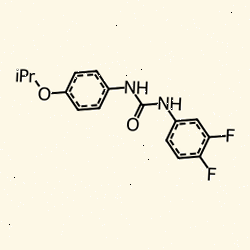 CC(C)Oc1ccc(NC(=O)Nc2ccc(F)c(F)c2)cc1